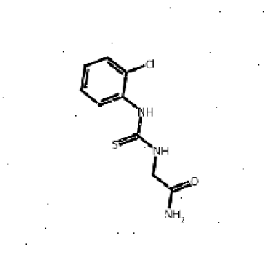 NC(=O)CNC(=S)Nc1ccccc1Cl